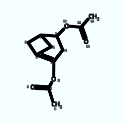 CC(=O)OC1=C2CC(C2)C(OC(C)=O)C1